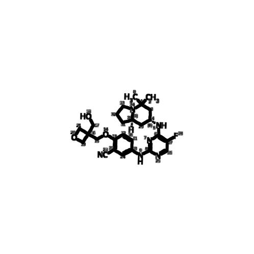 CC1(C)C[C@H](Nc2nc(Nc3ccc(OCC4(CO)COC4)c(C#N)c3)ncc2F)C[C@H]2CCCN21